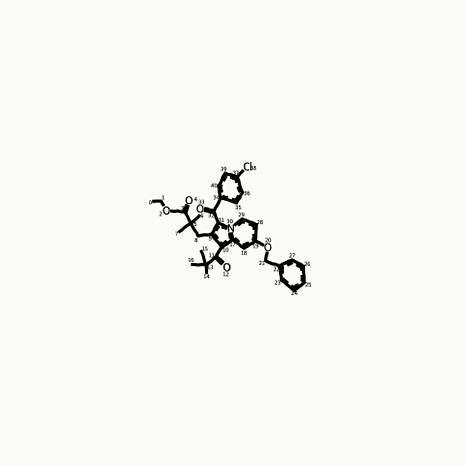 CCOC(=O)C(C)(C)Cc1c(C(=O)C(C)(C)C)c2cc(OCc3ccccc3)ccn2c1C(=O)c1ccc(Cl)cc1